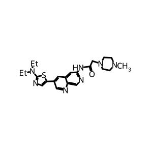 CCN(CC)c1ncc(-c2cnc3cnc(NC(=O)CN4CCN(C)CC4)cc3c2)s1